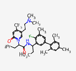 Cc1cc(C)c(-c2cc(C)c(F)c(C(CC(=O)O)NC(=O)C(CC(C)C)n3cc(CCN(C)C)c(C(F)(F)F)cc3=O)c2)c(C)c1